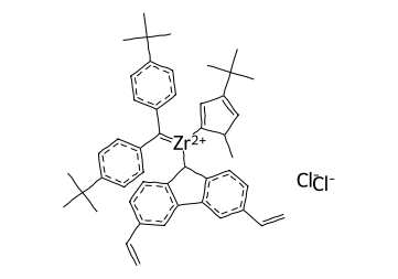 C=Cc1ccc2c(c1)-c1cc(C=C)ccc1[CH]2[Zr+2]([C]1=CC(C(C)(C)C)=CC1C)=[C](c1ccc(C(C)(C)C)cc1)c1ccc(C(C)(C)C)cc1.[Cl-].[Cl-]